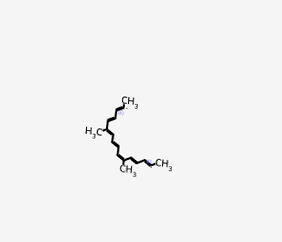 C/[C]=C/C=CC(C)=CC=CC=C(C)C=C/C=[C]/C